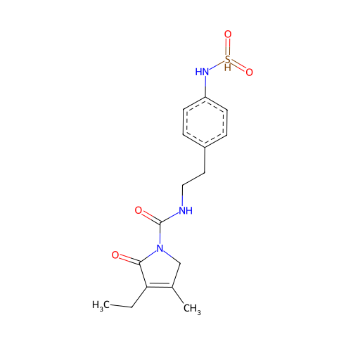 CCC1=C(C)CN(C(=O)NCCc2ccc(N[SH](=O)=O)cc2)C1=O